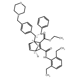 CCOC(=O)C1=C(C(=O)Nc2c(CC)cccc2CC)[C@H]2C=C[C@]1([C@@H](Nc1ccccc1)c1ccc(CN3CCOCC3)cc1)O2